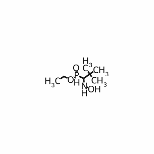 CCO[PH](=O)C(NO)C(C)(C)C